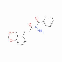 NN(C(=O)CCc1cccc2c1COCO2)C(=O)c1ccccc1